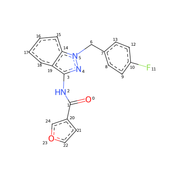 O=C(Nc1nn(Cc2ccc(F)cc2)c2ccccc12)c1ccoc1